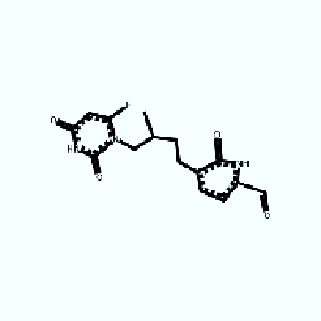 CC(CCc1ccc(C=O)[nH]c1=O)Cn1c(F)cc(=O)[nH]c1=O